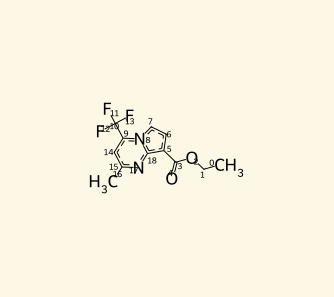 CCOC(=O)c1ccn2c(C(F)(F)F)cc(C)nc12